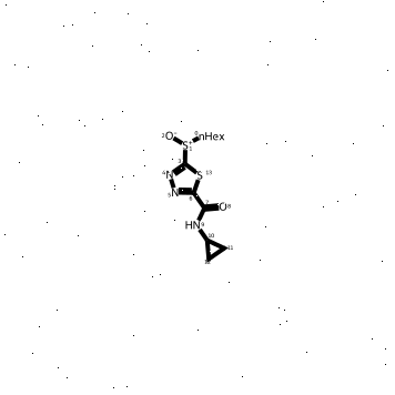 CCCCCC[S+]([O-])c1nnc(C(=O)NC2CC2)s1